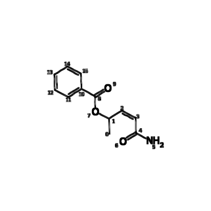 CC(/C=C\C(N)=O)OC(=O)c1ccccc1